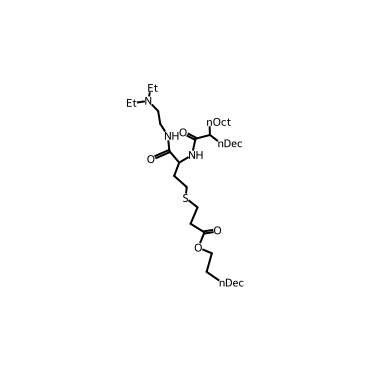 CCCCCCCCCCCCOC(=O)CCSCCC(NC(=O)C(CCCCCCCC)CCCCCCCCCC)C(=O)NCCN(CC)CC